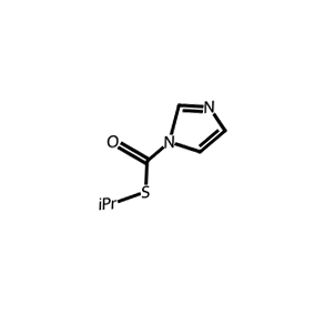 CC(C)SC(=O)n1ccnc1